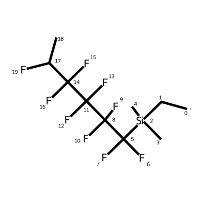 [CH2]C[Si](C)(C)C(F)(F)C(F)(F)C(F)(F)C(F)(F)C(C)F